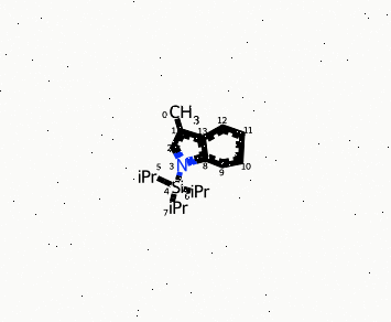 Cc1cn([Si](C(C)C)(C(C)C)C(C)C)c2ccccc12